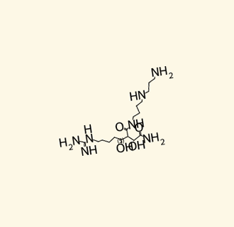 N=C(N)NCCCC[C@H](O)C(C(=O)NCCCCNCCCN)C(O)C(N)=O